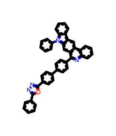 c1ccc(-c2nnc(-c3ccc(-c4ccc(-c5nc6ccccc6c6cc7c8ccccc8n(-c8ccccc8)c7cc56)cc4)cc3)o2)cc1